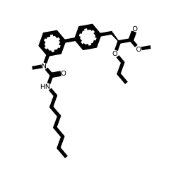 CCCCCCCNC(=O)N(C)c1cccc(-c2ccc(C[C@H](OCCC)C(=O)OC)cc2)c1